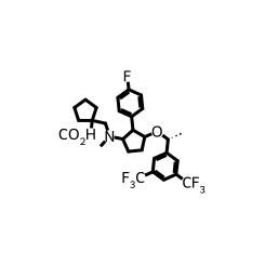 C[C@@H](OC1CCC(N(C)CC2(C(=O)O)CCCC2)C1c1ccc(F)cc1)c1cc(C(F)(F)F)cc(C(F)(F)F)c1